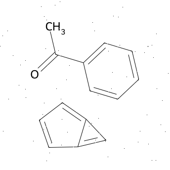 CC(=O)c1ccccc1.c1cc2cc-2c1